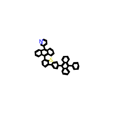 C1=CC2C(c3cccnc3)=c3ccccc3=C(c3cccc4c3sc3cc(-c5c6ccccc6c(-c6ccccc6)c6ccccc56)ccc34)C2C=C1